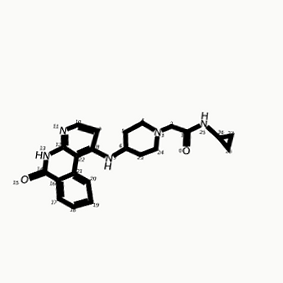 O=C(CN1CCC(Nc2ccnc3[nH]c(=O)c4ccccc4c23)CC1)NC1CC1